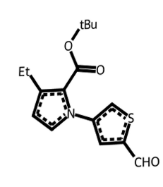 CCc1ccn(-c2csc(C=O)c2)c1C(=O)OC(C)(C)C